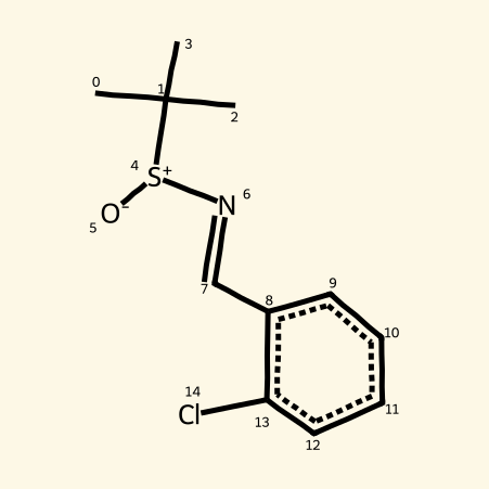 CC(C)(C)[S+]([O-])N=Cc1ccccc1Cl